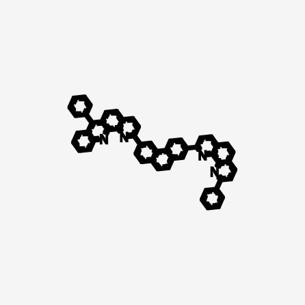 c1ccc(-c2ccc3ccc4ccc(-c5ccc6c(ccc7ccc(-c8ccc9ccc%10c(-c%11ccccc%11)c%11ccccc%11nc%10c9n8)cc76)c5)nc4c3n2)cc1